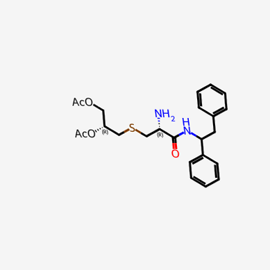 CC(=O)OC[C@H](CSC[C@H](N)C(=O)NC(Cc1ccccc1)c1ccccc1)OC(C)=O